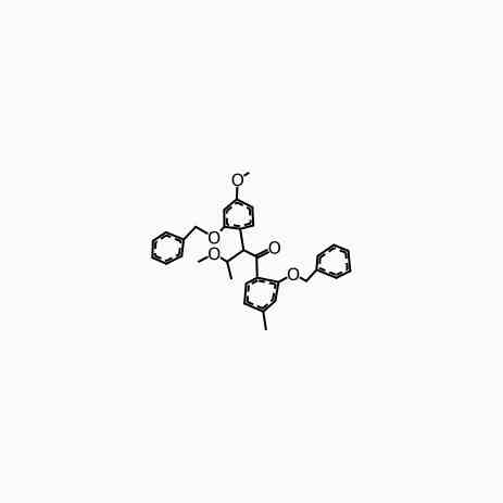 COc1ccc(C(C(=O)c2ccc(C)cc2OCc2ccccc2)C(C)OC)c(OCc2ccccc2)c1